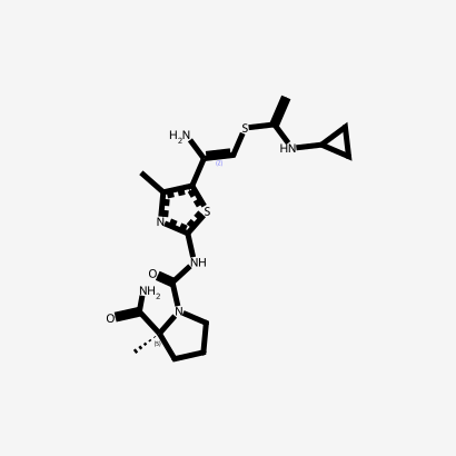 C=C(NC1CC1)S/C=C(\N)c1sc(NC(=O)N2CCC[C@@]2(C)C(N)=O)nc1C